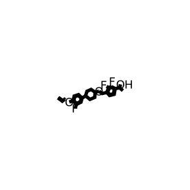 C=CCOc1ccc(C2CCC(OCc3ccc(C(C)O)c(F)c3F)CC2)cc1F